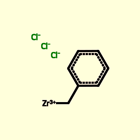 [Cl-].[Cl-].[Cl-].[Zr+3][CH2]c1ccccc1